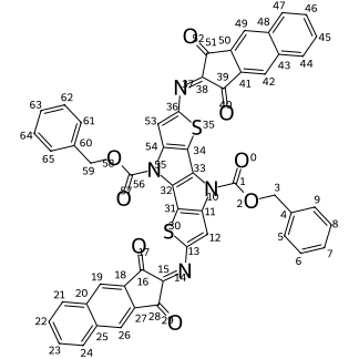 O=C(OCc1ccccc1)n1c2cc(N=c3c(=O)c4cc5ccccc5cc4c3=O)sc2c2c1c1sc(N=c3c(=O)c4cc5ccccc5cc4c3=O)cc1n2C(=O)OCc1ccccc1